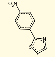 O=[N+]([O-])c1ccc(-c2nc[c]s2)cc1